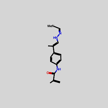 C=C(C)C(=O)Nc1ccc(/C(C)=C/N/N=C\NC)cc1